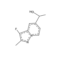 Cc1nn2ccc(C(C)O)cc2c1F